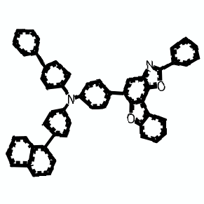 c1ccc(-c2ccc(N(c3ccc(-c4cccc5ccccc45)cc3)c3ccc(-c4cc5nc(-c6ccccc6)oc5c5c4oc4ccccc45)cc3)cc2)cc1